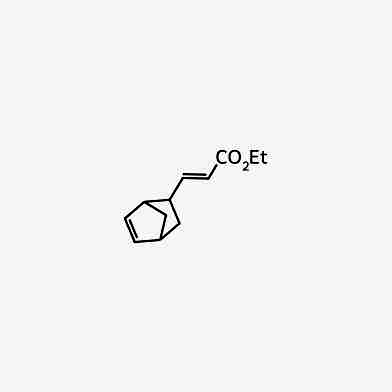 CCOC(=O)C=CC1CC2C=CC1C2